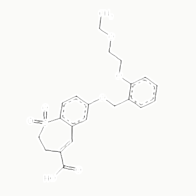 CCOCCOc1ccccc1COc1ccc2c(c1)C=C(C(=O)O)CCS2(=O)=O